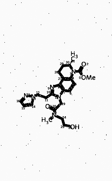 COC(=O)N1c2ccc3c(nc(CCn4cccn4)n3CC(=O)N(C)CCO)c2CC[C@@H]1C